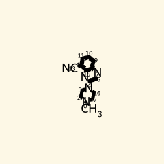 CN1CCN(c2cnc3cccc(C#N)c3n2)CC1